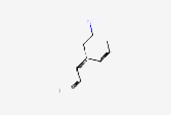 C=C/C=C(\C=C/CC)CCN